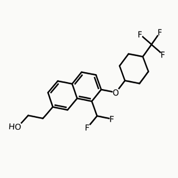 OCCc1ccc2ccc(OC3CCC(C(F)(F)F)CC3)c(C(F)F)c2c1